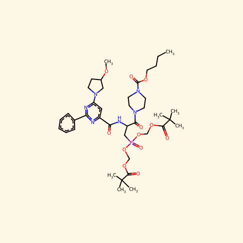 CCCCOC(=O)N1CCN(C(=O)C(CP(=O)(OCOC(=O)C(C)(C)C)OCOC(=O)C(C)(C)C)NC(=O)c2cc(N3CCC(OC)C3)nc(-c3ccccc3)n2)CC1